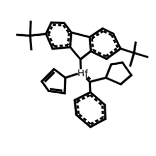 CC(C)(C)c1ccc2c(c1)[CH]([Hf](=[C](c1ccccc1)C1CCCC1)[CH]1C=CC=C1)c1cc(C(C)(C)C)ccc1-2